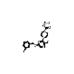 CC(C)(C)OC(=O)N1CCN(c2nc(OCc3cccc(Cl)c3)cnc2F)CC1